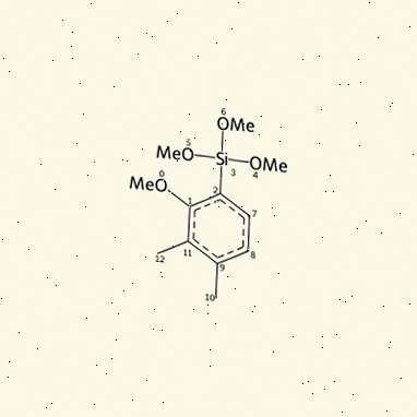 COc1c([Si](OC)(OC)OC)ccc(C)c1C